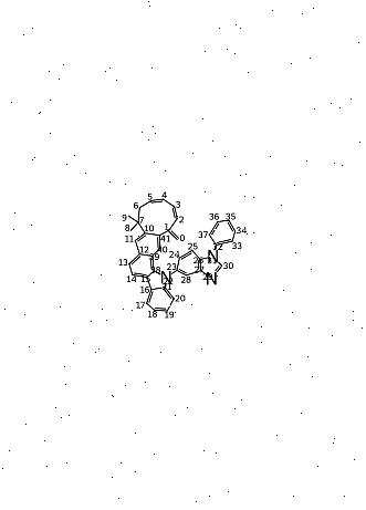 C=C1/C=C\C=C/CC(C)(C)c2cc3ccc4c5ccccc5n(-c5ccc6c(c5)ncn6-c5ccccc5)c4c3cc21